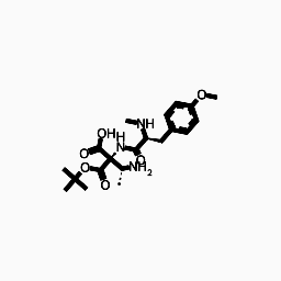 CN[C@@H](Cc1ccc(OC)cc1)C(=O)N[C@@](C(=O)O)(C(=O)OC(C)(C)C)[C@@H](C)N